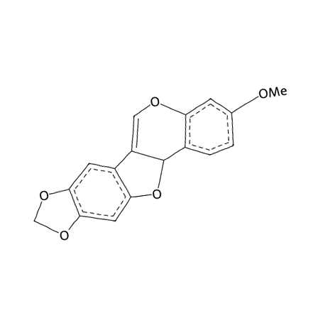 COc1ccc2c(c1)OC=C1c3cc4c(cc3OC12)OCO4